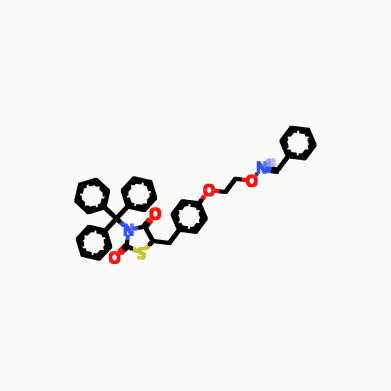 O=C1SC(Cc2ccc(OCCO/N=C/c3ccccc3)cc2)C(=O)N1C(c1ccccc1)(c1ccccc1)c1ccccc1